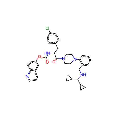 O=C(NC(Cc1ccc(Cl)cc1)C(=O)N1CCN(c2ccccc2CNC(C2CC2)C2CC2)CC1)Oc1ccc2ncccc2c1